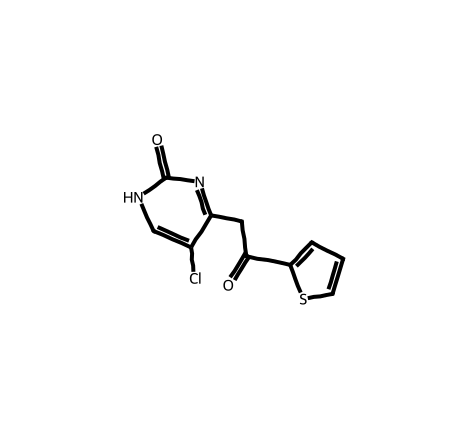 O=C(Cc1nc(=O)[nH]cc1Cl)c1cccs1